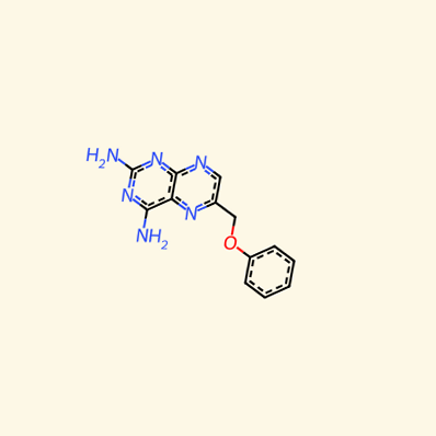 Nc1nc(N)c2nc(COc3ccccc3)cnc2n1